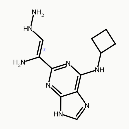 NN/C=C(\N)c1nc(NC2CCC2)c2nc[nH]c2n1